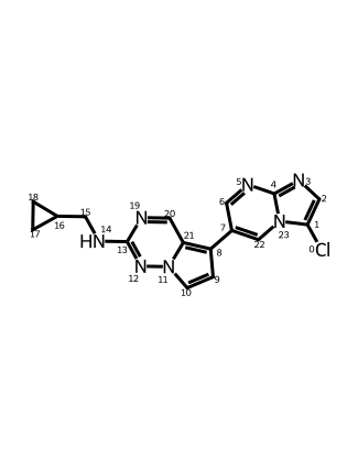 Clc1cnc2ncc(-c3ccn4nc(NCC5CC5)ncc34)cn12